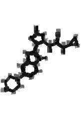 Cn1c(-c2n[nH]cc2NC(=O)NC2CC2)nc2cc(N3CCOCC3)ccc21